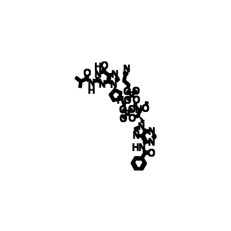 CO[C@H](COP(=O)(O)OCCC#N)[C@H](Cn1cnc2c(NC(=O)c3ccccc3)ncnc21)OP(=O)(O)OC[C@@H]1CC[C@H](n2cnc3c(=O)[nH]c(NC(=O)C(C)C)nc32)C1